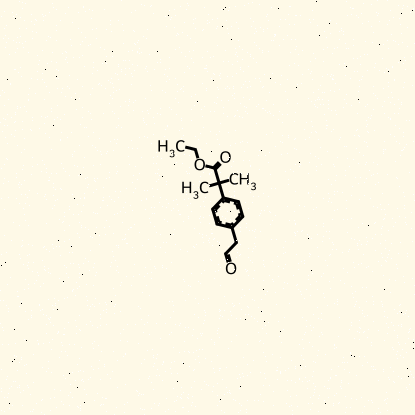 CCOC(=O)C(C)(C)c1ccc(CC=O)cc1